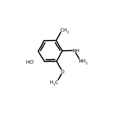 COc1cccc(C)c1NN.Cl